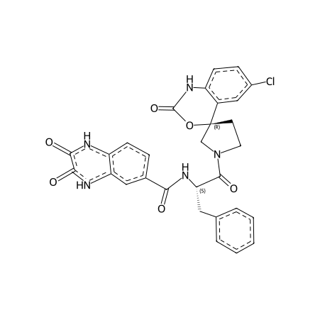 O=C1Nc2ccc(Cl)cc2[C@@]2(CCN(C(=O)[C@H](Cc3ccccc3)NC(=O)c3ccc4[nH]c(=O)c(=O)[nH]c4c3)C2)O1